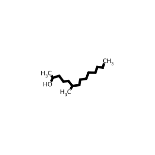 CCCCCCCCC(C)CCCC(C)O